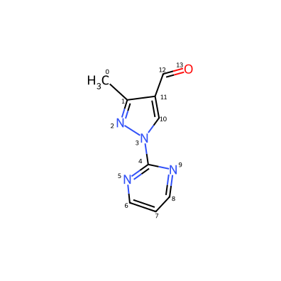 Cc1nn(-c2ncccn2)cc1C=O